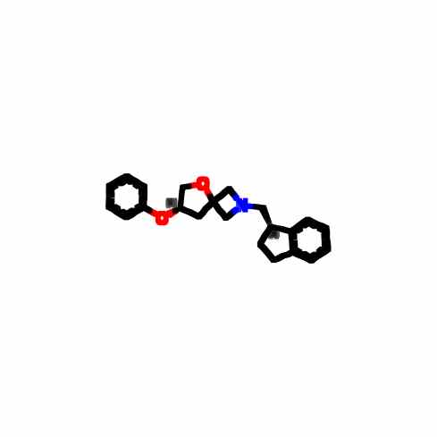 c1ccc(O[C@H]2COC3(C2)CN(C[C@@H]2CCc4ccccc42)C3)cc1